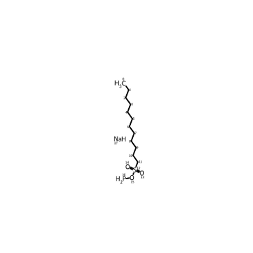 CCCCCCCCCCCCS(=O)(=O)OP.[NaH]